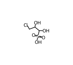 O=S(=O)(O)C(O)C(O)CCl